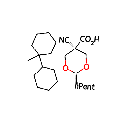 CC1(C2CCCCC2)CCCCC1.CCCCC[C@H]1OC[C@@](C#N)(C(=O)O)CO1